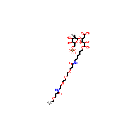 CCOCCC(=O)NCCOCCOCCOCCC(=O)NCCCCCCOC(O)C(O)C(O)C(CC(=O)O)OC1OC(COS(=O)(=O)O)C(O)C(O)C1C